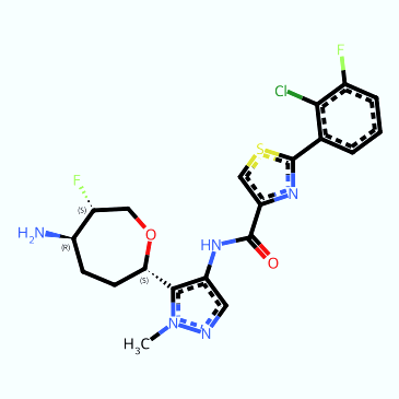 Cn1ncc(NC(=O)c2csc(-c3cccc(F)c3Cl)n2)c1[C@@H]1CC[C@@H](N)[C@H](F)CO1